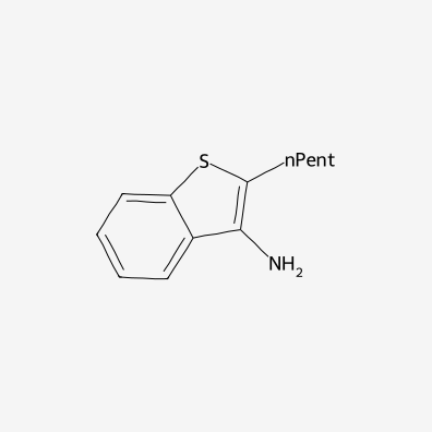 CCCCCc1sc2ccccc2c1N